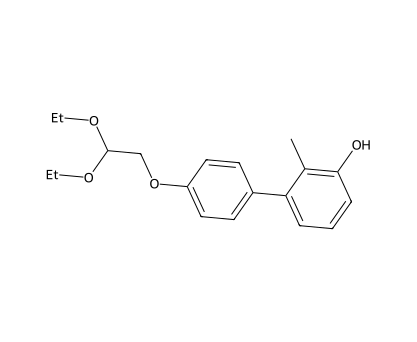 CCOC(COc1ccc(-c2cccc(O)c2C)cc1)OCC